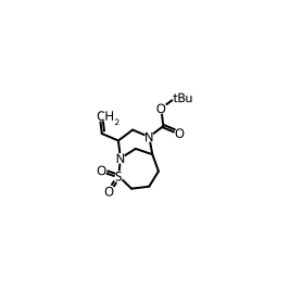 C=CC1CN(C(=O)OC(C)(C)C)C2CCCS(=O)(=O)N1C2